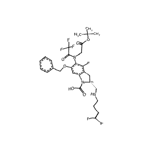 CC(C)(C)OC(=O)CN(C(=O)C(F)(F)F)c1c(OCc2ccccc2)cc2c(c1F)C[C@H](CNCCCC(F)F)N2C(=O)O